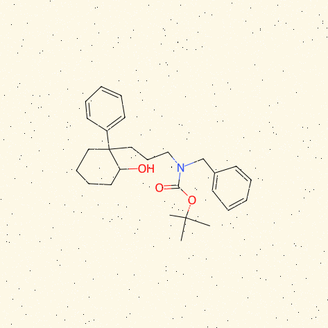 CC(C)(C)OC(=O)N(CCCC1(c2ccccc2)CCCCC1O)Cc1ccccc1